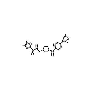 Cc1cc(C(=O)NC[C@H]2CC[C@@H](Nc3ccc(-n4cncn4)cn3)C2)on1